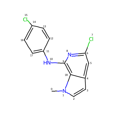 Cn1ccc2cc(Cl)nc(Nc3ccc(Cl)cc3)c21